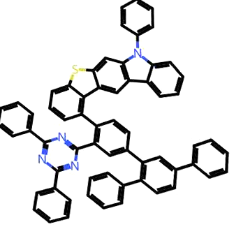 c1ccc(-c2ccc(-c3ccccc3)c(-c3ccc(-c4cccc5sc6cc7c(cc6c45)c4ccccc4n7-c4ccccc4)c(-c4nc(-c5ccccc5)nc(-c5ccccc5)n4)c3)c2)cc1